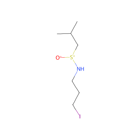 CC(C)C[S+]([O-])NCCCI